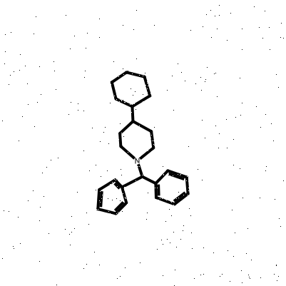 c1ccc(C(c2ccccc2)N2CCC(C3CCCCC3)CC2)cc1